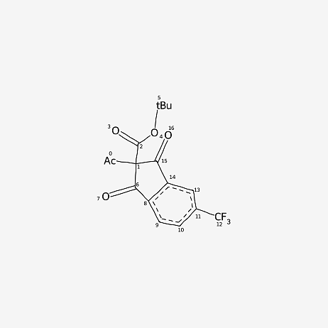 CC(=O)C1(C(=O)OC(C)(C)C)C(=O)c2ccc(C(F)(F)F)cc2C1=O